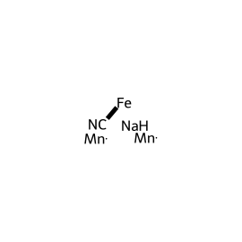 N#[C][Fe].[Mn].[Mn].[NaH]